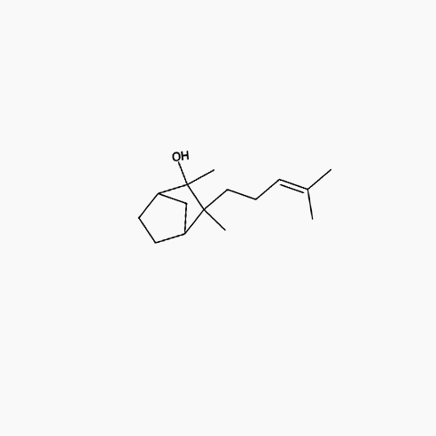 CC(C)=CCCC1(C)C2CCC(C2)C1(C)O